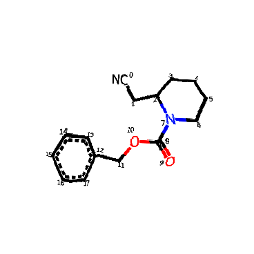 N#CCC1CCCCN1C(=O)OCc1ccccc1